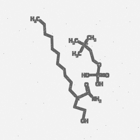 CCCCCCCCCCCN(CCO)C(N)=O.C[N+](C)(C)CCOP(=O)(O)O